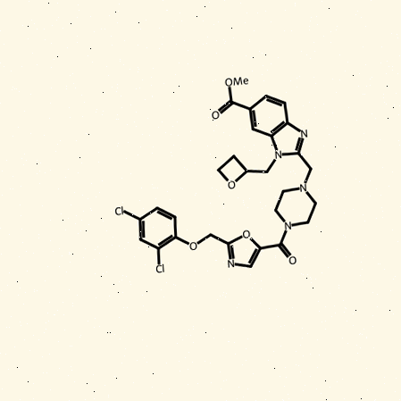 COC(=O)c1ccc2nc(CN3CCN(C(=O)c4cnc(COc5ccc(Cl)cc5Cl)o4)CC3)n(CC3CCO3)c2c1